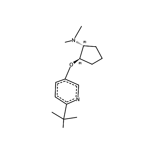 CN(C)[C@@H]1CCC[C@H]1Oc1ccc(C(C)(C)C)nc1